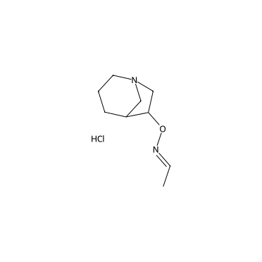 CC=NOC1CN2CCCC1C2.Cl